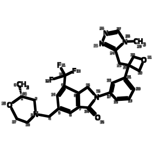 C[C@@H]1CN(Cc2cc3c(c(C(F)(F)F)c2)CN(c2cccc(C4(Cc5nncn5C)COC4)c2)C3=O)CCO1